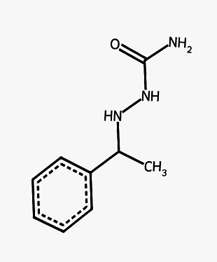 CC(NNC(N)=O)c1ccccc1